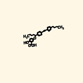 CCCCc1ccc(C#Cc2ccc(C(CCCC)Oc3ccc(O)c(C(=O)O)c3)cc2)cc1